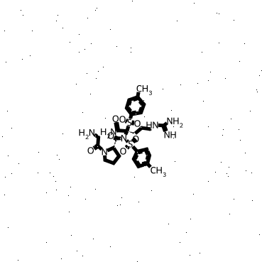 Cc1ccc(S(=O)(=O)N(C(=O)[C@@H]2CCCN2C(=O)CN)[C@@](CCCNC(=N)N)(C(N)=O)S(=O)(=O)c2ccc(C)cc2)cc1